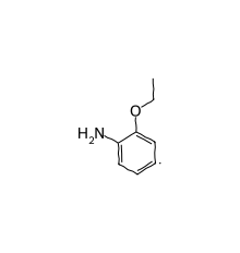 CCOc1c[c]ccc1N